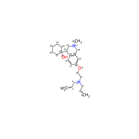 C=CCN(CC=C)CCOc1ccc2c(c1)CN(C)CC2C1(O)CCCCC1